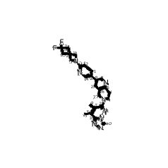 Cc1c(N2CCc3ncc(-c4ccc(N5CC6(C5)CC(F)(F)C6)nc4)cc3C2)nn2cnnc2c1C